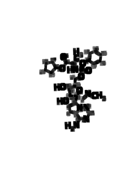 CN=C[C@@]1(c2ccc3c(N)ncnn23)O[C@H](COP(=O)(N[C@@H](C)C(=O)OC2CCCC2)Oc2ccccc2)[C@@H](O)[C@H]1O